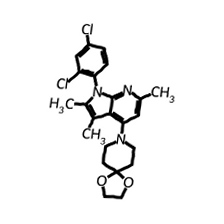 Cc1cc(N2CCC3(CC2)OCCO3)c2c(C)c(C)n(-c3ccc(Cl)cc3Cl)c2n1